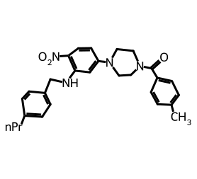 CCCc1ccc(CNc2cc(N3CCN(C(=O)c4ccc(C)cc4)CC3)ccc2[N+](=O)[O-])cc1